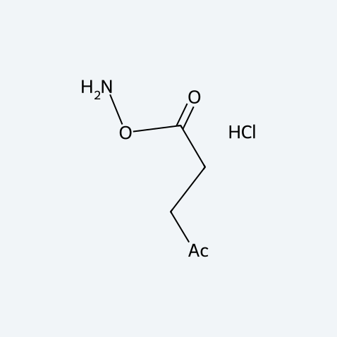 CC(=O)CCC(=O)ON.Cl